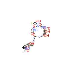 CC[C@H]1C[C@@H]2CC3=C[C@@H](C)[C@H](C[C@H](O)[C@@H](C)CC/C=C/C=C(\C)[C@@H]4C/C=C/C=C/[C@H](O)[C@H](C)[C@@H](O)[C@@H](CCC(C)=O)C(=O)N[C@@H](C(C)C)C(=O)NC(c5cc(O)cc(F)c5)C(=O)N5CCCC(N5)C(=O)O4)O[C@@]32NC1=O